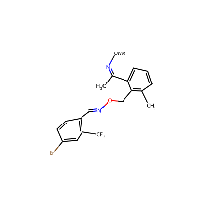 CO/N=C(/C)c1cccc(C)c1CO/N=C/c1ccc(Br)cc1C(F)(F)F